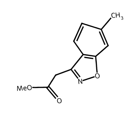 COC(=O)Cc1noc2cc(C)ccc12